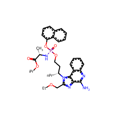 CCC[C@H](CCO[P@@](=O)(N[C@@H](C)C(=O)OC(C)C)Oc1cccc2ccccc12)n1c(COCC)nc2c(N)nc3ccccc3c21